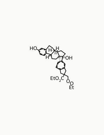 CCOOCC1(C(=O)OCC)Cc2ccc([C@]3(O)CC[C@H]4[C@@H]5CCc6cc(O)ccc6[C@H]5CC[C@@]43C)cc2C1